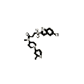 Cc1cc(N2CCC(N(C)C(=O)CCS(=O)(=O)c3cc4cc(Cl)ccc4n3C)CC2)ccn1